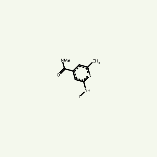 CNC(=O)c1cc(C)nc(NI)c1